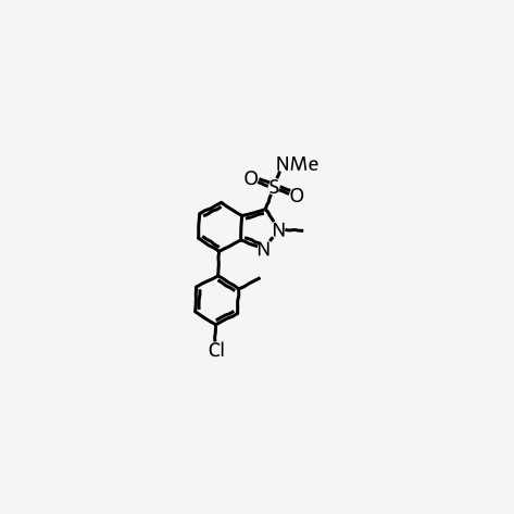 CNS(=O)(=O)c1c2cccc(-c3ccc(Cl)cc3C)c2nn1C